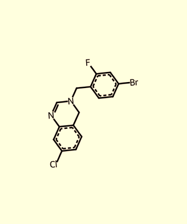 Fc1cc(Br)ccc1CN1C=Nc2cc(Cl)ccc2C1